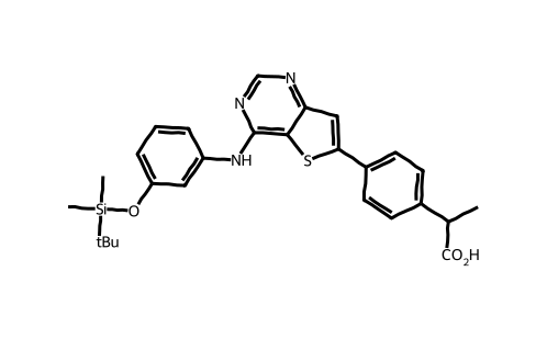 CC(C(=O)O)c1ccc(-c2cc3ncnc(Nc4cccc(O[Si](C)(C)C(C)(C)C)c4)c3s2)cc1